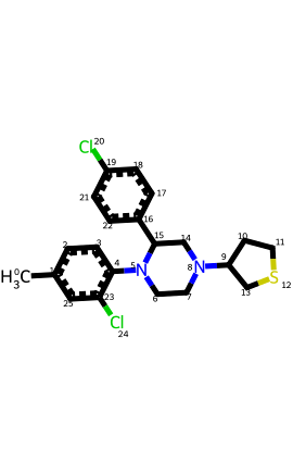 Cc1ccc(N2CCN(C3CCSC3)CC2c2ccc(Cl)cc2)c(Cl)c1